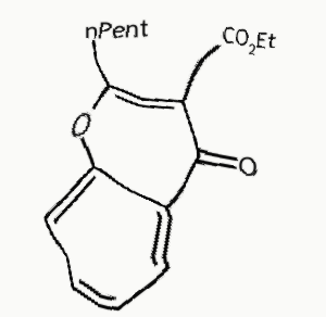 CCCCCc1oc2ccccc2c(=O)c1C(=O)OCC